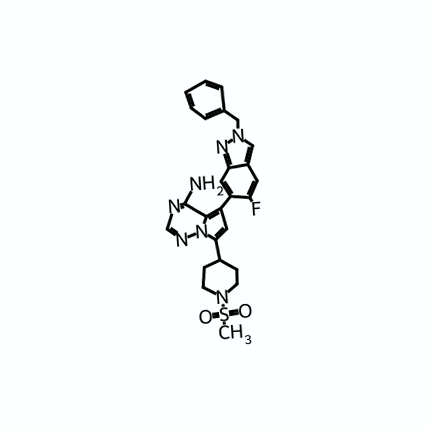 CS(=O)(=O)N1CCC(c2cc(-c3cc4nn(Cc5ccccc5)cc4cc3F)c3c(N)ncnn23)CC1